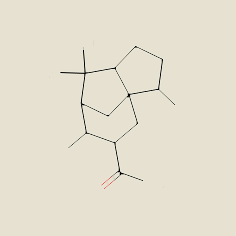 CC(=O)C1CC23CC(C1C)C(C)(C)C2CCC3C